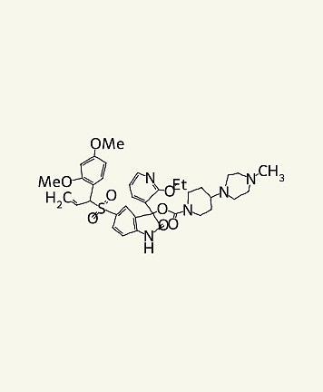 C=CC(c1ccc(OC)cc1OC)S(=O)(=O)c1ccc2c(c1)C(OC(=O)N1CCC(N3CCN(C)CC3)CC1)(c1cccnc1OCC)C(=O)N2